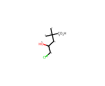 CC(C)(CC(O)CCl)C(=O)O